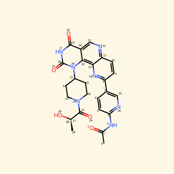 CC(=O)Nc1ccc(-c2ccc3ncc4c(=O)[nH]c(=O)n(C5CCN(C(=O)[C@@H](C)O)CC5)c4c3n2)cn1